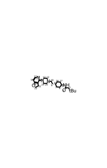 CC(C)(C)CC(=O)N[C@H]1CC[C@H](CCN2CCN(c3nccc4c3CCO4)CC2)CC1